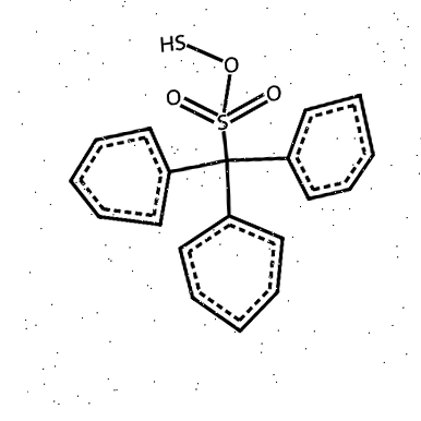 O=S(=O)(OS)C(c1ccccc1)(c1ccccc1)c1ccccc1